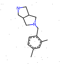 Cc1ccc(CN2CC3C[N]CC3C2)c(C)c1